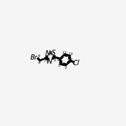 Clc1ccc(-c2nc(CBr)ns2)cc1